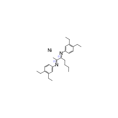 CCCCC(=N\c1ccc(CC)c(CC)c1)/C(C)=N/c1ccc(CC)c(CC)c1.[Ni]